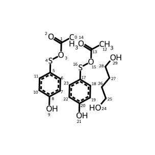 CC(=O)OSc1ccc(O)cc1.CC(=O)OSc1ccc(O)cc1.OCCCCO